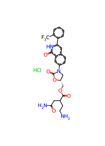 Cl.NCCC(CC(N)=O)C(=O)OC[C@H]1CN(c2ccc3cc(-c4ccccc4C(F)(F)F)[nH]c(=O)c3c2)C(=O)O1